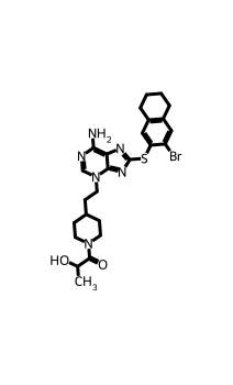 CC(O)C(=O)N1CCC(CCn2cnc(N)c3nc(Sc4cc5c(cc4Br)CCCC5)nc2-3)CC1